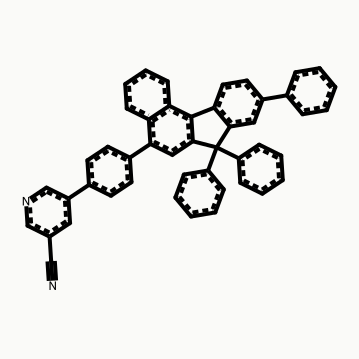 N#Cc1cncc(-c2ccc(-c3cc4c(c5ccccc35)-c3ccc(-c5ccccc5)cc3C4(c3ccccc3)c3ccccc3)cc2)c1